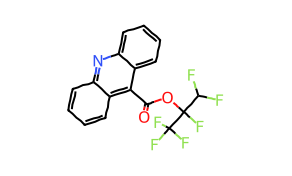 O=C(OC(F)(C(F)F)C(F)(F)F)c1c2ccccc2nc2ccccc12